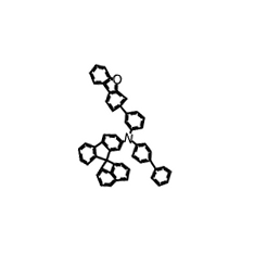 c1ccc(-c2ccc(N(c3cccc(-c4ccc5c(c4)oc4ccccc45)c3)c3ccc4c(c3)C3(c5ccccc5-4)c4cccc5cccc3c45)cc2)cc1